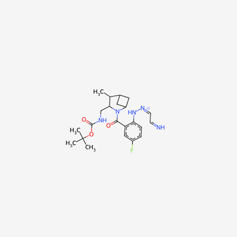 CC1C2CC(C2)N(C(=O)c2cc(F)ccc2N/N=C\C=N)C1CNC(=O)OC(C)(C)C